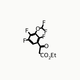 CCOC(=O)CC(=O)c1cc(F)c(F)c(OC(F)F)c1F